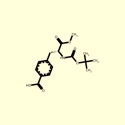 COC(=O)[C@@H](Cc1ccc(C(=O)O)cc1)NC(=O)OC(C)(C)C